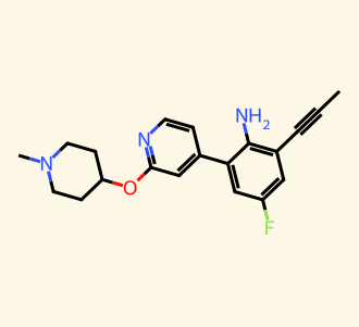 CC#Cc1cc(F)cc(-c2ccnc(OC3CCN(C)CC3)c2)c1N